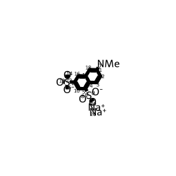 CNc1ccc2c(S(=O)(=O)[O-])cc(S(=O)(=O)[O-])cc2c1.[Na+].[Na+]